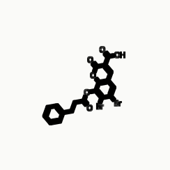 O=C(CCc1ccccc1)Oc1c(Br)c(Br)cc2cc(C(=O)O)c(=O)oc12